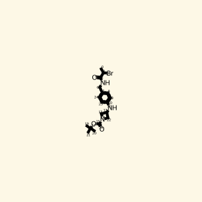 CC(Br)C(=O)NCc1ccc(NC2CN(C(=O)OC(C)(C)C)C2)cc1